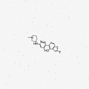 Cc1cc(N[C@@H]2CCCN(C)C2)nnc1-c1ccc2sc(F)cc2c1O